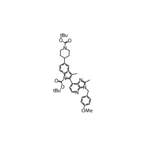 COc1ccc(Cn2c(C)nc3c(-c4c(C)c5cc(C6CCN(C(=O)OC(C)(C)C)CC6)ccc5n4C(=O)OC(C)(C)C)ccnc32)cc1